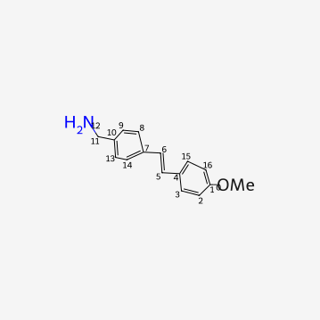 COc1ccc(/C=C/c2ccc(CN)cc2)cc1